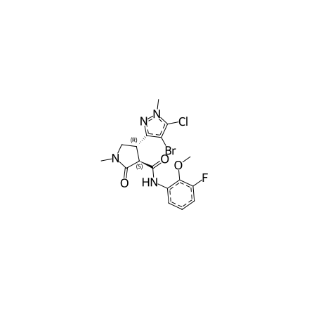 COc1c(F)cccc1NC(=O)[C@H]1C(=O)N(C)C[C@@H]1c1nn(C)c(Cl)c1Br